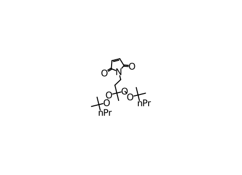 CCCC(C)(C)OOC(C)(CCN1C(=O)C=CC1=O)OOC(C)(C)CCC